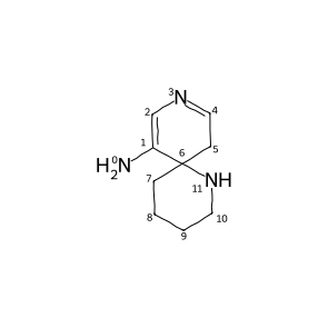 NC1=CN=CCC12CCCCN2